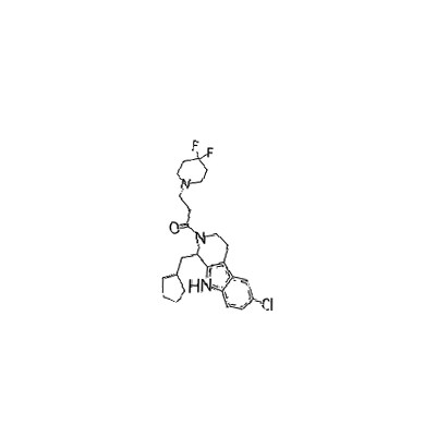 O=C(CCN1CCC(F)(F)CC1)N1CCc2c([nH]c3ccc(Cl)cc23)C1CC1CCCC1